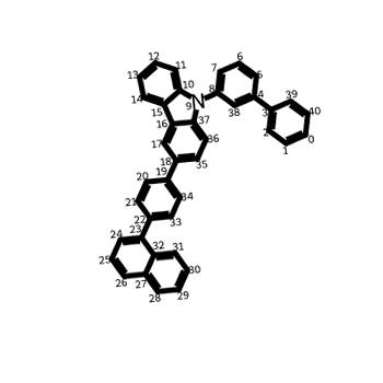 c1ccc(-c2cccc(-n3c4ccccc4c4cc(-c5ccc(-c6cccc7ccccc67)cc5)ccc43)c2)cc1